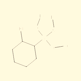 CCO[Si](OCC)(OCC)C1CCCCC1CC